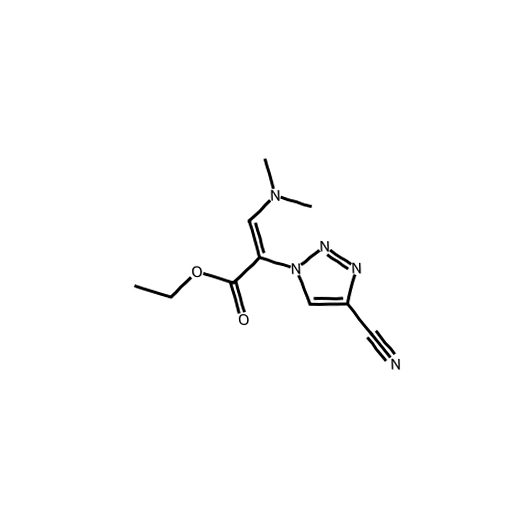 CCOC(=O)/C(=C/N(C)C)n1cc(C#N)nn1